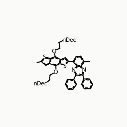 CCCCCCCCCCCCOc1c2cc(-c3ccc(C)c4nc(-c5ccccc5)c(-c5ccccc5)nc34)sc2c(OCCCCCCCCCCCC)c2cc(C)sc12